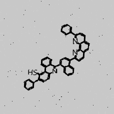 Sc1c(-c2ccccc2)ccc2nc(-c3ccc(-c4ccc5ccc6ccc(-c7ccccc7)nc6c5n4)c4ccccc34)c3ccccc3c12